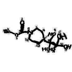 CC(C)(C)OC(=O)N1CCN(C(O)(O)C(O)(O)O)CC1